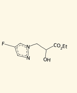 CCOC(=O)C(O)Cn1cc(F)cn1